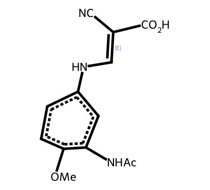 COc1ccc(N/C=C(\C#N)C(=O)O)cc1NC(C)=O